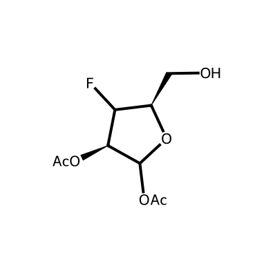 CC(=O)OC1O[C@H](CO)C(F)[C@@H]1OC(C)=O